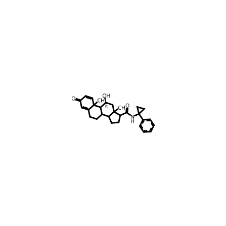 CC12C=CC(=O)C=C1CCC1C2[C@@H](O)CC2(C)C(C(=O)NC3(c4ccccc4)CC3)CCC12